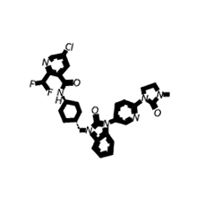 CN1CCN(c2ccc(-n3c(=O)n(C[C@H]4CC[C@H](NC(=O)c5cc(Cl)cnc5C(F)F)CC4)c4ccccc43)cn2)C1=O